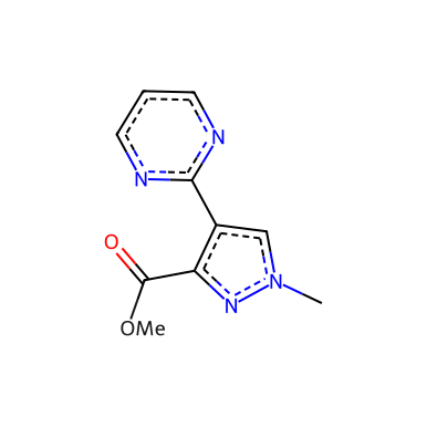 COC(=O)c1nn(C)cc1-c1ncccn1